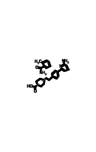 Cc1ccccc1C(N)=O.Nc1cccc(-c2ccc(CCN3CCN(C(=O)O)CC3)cc2)n1